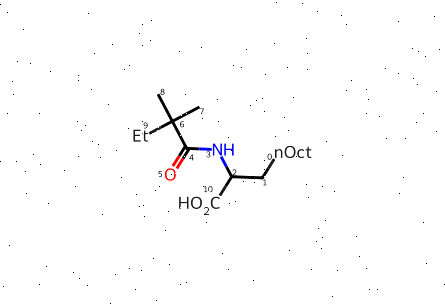 CCCCCCCCCC(NC(=O)C(C)(C)CC)C(=O)O